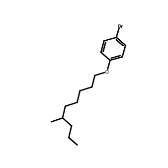 CCCC(C)CCCCCOc1ccc(Br)cc1